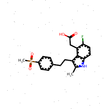 Cc1[nH]c2ccc(F)c(CC(=O)O)c2c1CCc1ccc(S(C)(=O)=O)cc1